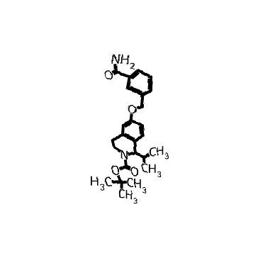 CC(C)C1c2ccc(OCc3cccc(C(N)=O)c3)cc2CCN1C(=O)OC(C)(C)C